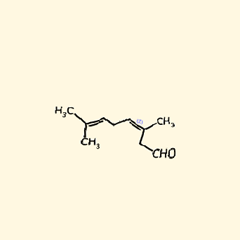 CC(C)=CC/C=C(/C)CC=O